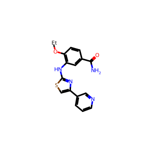 CCOc1ccc(C(N)=O)cc1Nc1nc(-c2cccnc2)cs1